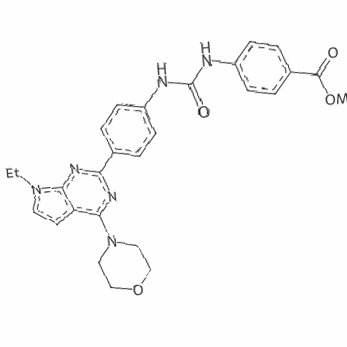 CCn1ccc2c(N3CCOCC3)nc(-c3ccc(NC(=O)Nc4ccc(C(=O)OC)cc4)cc3)nc21